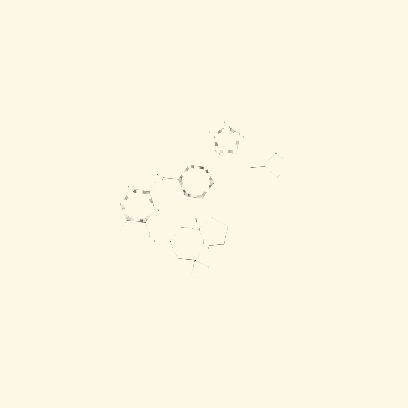 CC1(C)C[C@H](Nc2nc(Nc3cccc(-n4nnnc4SC4COC4)c3)ncc2F)C[C@@H]2CCCN21